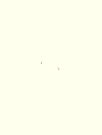 C[C@]12C[C@H](c3ccc(C=O)cc3)C3=C4CCC(=O)C=C4CCC3C1CC[C@]2(O)C(F)(F)C(F)(F)F